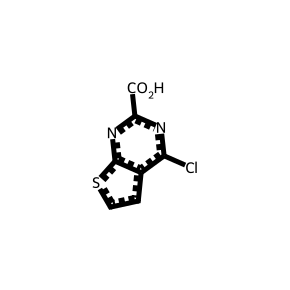 O=C(O)c1nc(Cl)c2ccsc2n1